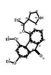 CCOc1cc(OCC)c2c(c1)C(=O)c1cccc(OC(CC)C3CCNC3)c1-2